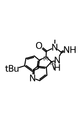 CN1C(=N)N[C@](C)(c2ccncc2)[C@@H](c2ccc(C(C)(C)C)cc2)C1=O